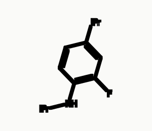 CC(C)Nc1ccc(C(C)C)cc1F